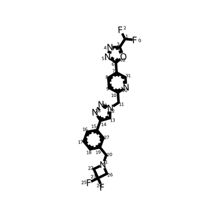 FC(F)c1nnc(-c2ccc(Cn3cc(-c4cccc(CN5CC(F)(F)C5)c4)nn3)nc2)o1